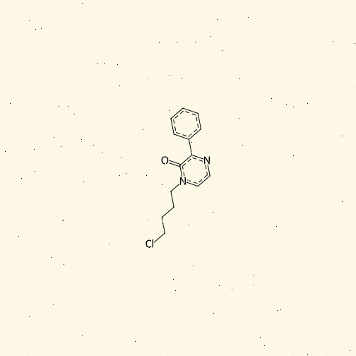 O=c1c(-c2ccccc2)nccn1CCCCCl